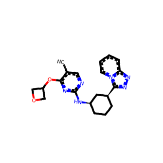 N#Cc1cnc(N[C@@H]2CCC[C@H](c3nnc4ccccn34)C2)nc1OC1COC1